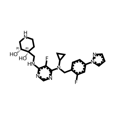 O[C@@H]1CNCC[C@@]1(O)CNc1ncnc(N(Cc2ccc(-n3cccn3)cc2F)C2CC2)c1F